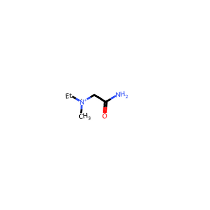 CC[N+](C)CC(N)=O